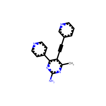 Cc1nc(N)nc(-c2ccncc2)c1C#Cc1cccnc1